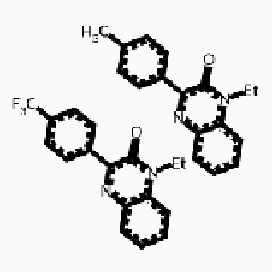 CCn1c(=O)c(-c2ccc(C(F)(F)F)cc2)nc2ccccc21.CCn1c(=O)c(-c2ccc(C)cc2)nc2ccccc21